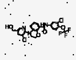 O=C(Nc1ccc(OC(F)(F)F)c(Cl)c1)c1cccc2c1OCCN2c1ncc(CO)cc1Cl